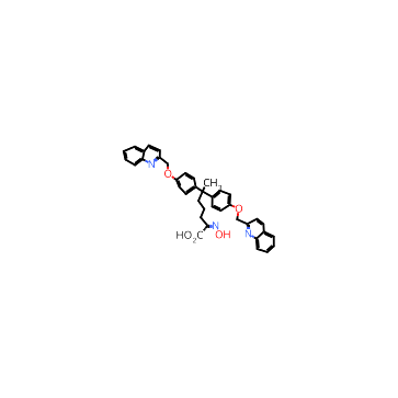 CC(CCCC(=NO)C(=O)O)(c1ccc(OCc2ccc3ccccc3n2)cc1)c1ccc(OCc2ccc3ccccc3n2)cc1